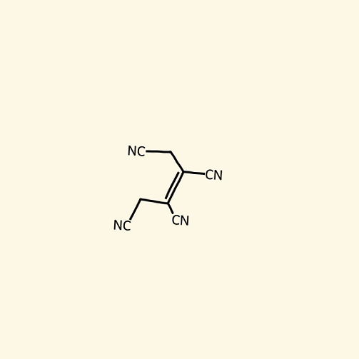 N#CCC(C#N)=C(C#N)CC#N